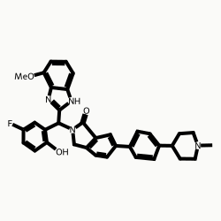 COc1cccc2[nH]c(C(c3cc(F)ccc3O)N3Cc4ccc(-c5ccc(C6CCN(C)CC6)cc5)cc4C3=O)nc12